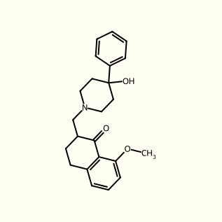 COc1cccc2c1C(=O)C(CN1CCC(O)(c3ccccc3)CC1)CC2